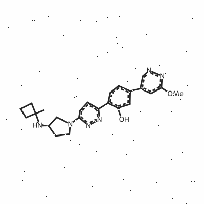 COc1cc(-c2ccc(-c3ccc(N4CC[C@@H](NC5(C)CCC5)C4)nn3)c(O)c2)cnn1